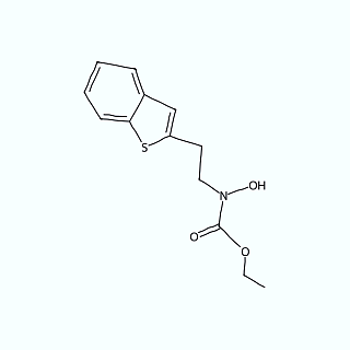 CCOC(=O)N(O)CCc1cc2ccccc2s1